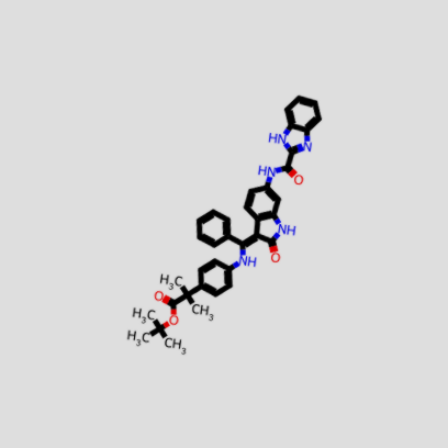 CC(C)(C)OC(=O)C(C)(C)c1ccc(N/C(=C2\C(=O)Nc3cc(NC(=O)c4nc5ccccc5[nH]4)ccc32)c2ccccc2)cc1